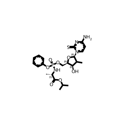 CC(C)OC(=O)[C@H](C)NP(=O)(OC[C@H]1O[C@@H](n2ccc(N)nc2=S)C(C)[C@H]1O)Oc1ccccc1